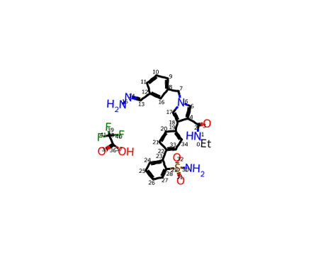 CCNC(=O)c1cn(Cc2cccc(C=NN)c2)cc1-c1ccc(-c2ccccc2S(N)(=O)=O)cc1.O=C(O)C(F)(F)F